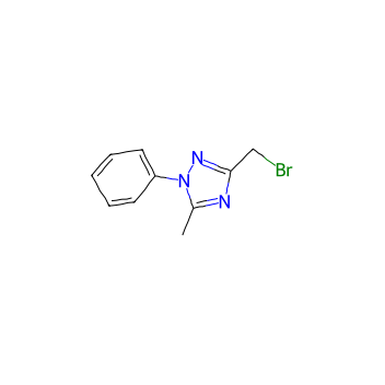 Cc1nc(CBr)nn1-c1ccccc1